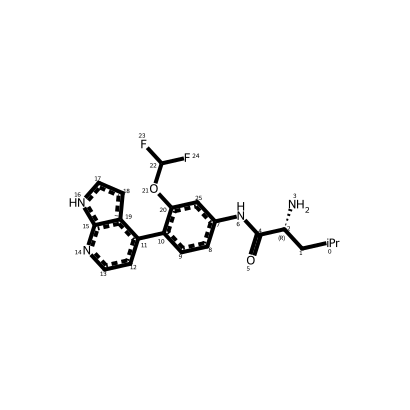 CC(C)C[C@@H](N)C(=O)Nc1ccc(-c2ccnc3[nH]ccc23)c(OC(F)F)c1